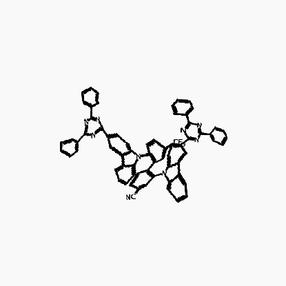 N#Cc1ccc(-c2cc(C(F)(F)F)ccc2-n2c3ccccc3c3cc(-c4nc(-c5ccccc5)nc(-c5ccccc5)n4)ccc32)c(-n2c3ccccc3c3cc(-c4nc(-c5ccccc5)nc(-c5ccccc5)n4)ccc32)c1